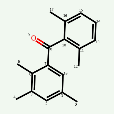 Cc1cc(C)c(C)c(C(=O)c2c(C)cccc2C)c1